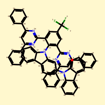 FC(F)(F)c1cc(-c2nc(-c3ccccc3)cc(-c3ccccc3)n2)c(-n2c3ccccc3c3ccc(-n4c5ccccc5c5ccccc54)cc32)c(-c2nc(-c3ccccc3)cc(-c3ccccc3)n2)c1